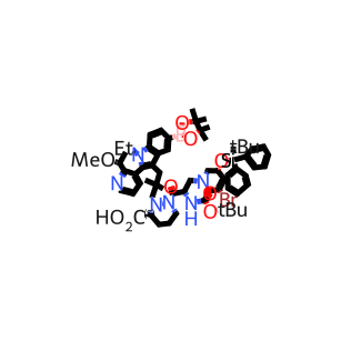 CCn1c(-c2cccnc2C(C)OC)c(CC(C)(C)CN2[C@H](C(=O)O)CCCN2C(=O)C(CN2CC(Br)=CC(O[Si](c3ccccc3)(c3ccccc3)C(C)(C)C)C2)NC(=O)OC(C)(C)C)c2cc(B3OC(C)(C)C(C)(C)O3)ccc21